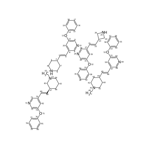 C(=CC1CCNCC1)c1cncc(Oc2ccccc2)c1.C(=CC1CNC1)c1cncc(Oc2ccccc2)c1.CN1CCC(C=Cc2cncc(Oc3ccccc3)c2)CC1.CN1CCC[C@@H](C=Cc2cncc(Oc3ccccc3)c2)C1